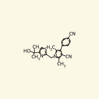 Cc1c(C#N)c(-c2ccc(C#N)cc2)c(C)n1Cc1nc(C(C)(C)O)cs1